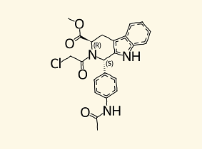 COC(=O)[C@H]1Cc2c([nH]c3ccccc23)[C@H](c2ccc(NC(C)=O)cc2)N1C(=O)CCl